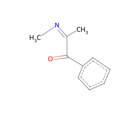 C/N=C(/C)C(=O)c1ccccc1